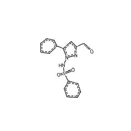 O=Cc1cc(-c2ccccc2)n(NS(=O)(=O)c2ccccc2)n1